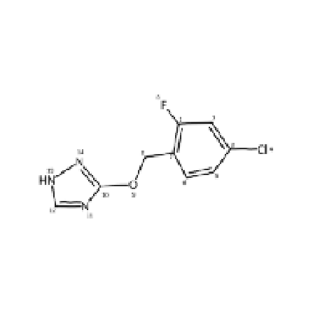 Fc1cc(Cl)ccc1COc1nc[nH]n1